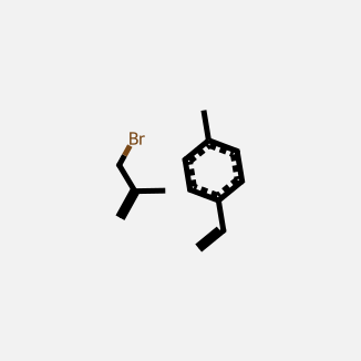 C=C(C)CBr.C=Cc1ccc(C)cc1